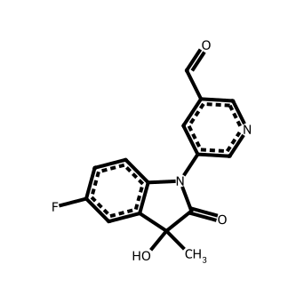 CC1(O)C(=O)N(c2cncc(C=O)c2)c2ccc(F)cc21